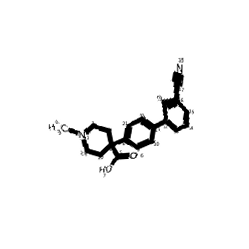 CN1CCC(C(=O)O)(c2ccc(-c3cccc(C#N)c3)cc2)CC1